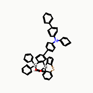 c1ccc(-c2ccc(N(c3ccccc3)c3ccc(-c4ccc5c(c4)[Si]4(c6ccccc6Sc6ccccc64)c4ccccc4[Si]5(c4ccccc4)c4ccccc4)cc3)cc2)cc1